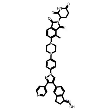 Cc1c(N2CCN(c3ccc(-n4cc(-c5ccc6c(c5)CC/C6=N\O)c(-c5ccncc5)n4)cc3)CC2)ccc2c1C(=O)N(C1CCC(=O)NC1=O)C2=O